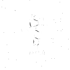 Cc1cc(N)c(C)c(C)c1C(=O)Oc1ccc(B(O)O)cc1